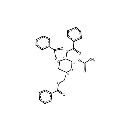 CC(=O)O[C@@H]1O[C@H](COC(=O)c2ccccc2)C[C@H](OC(=O)c2ccccc2)[C@H]1OC(=O)c1ccccc1